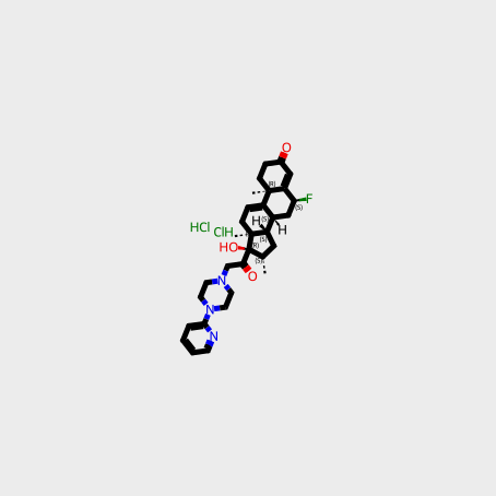 C[C@H]1C[C@H]2[C@@H]3C[C@H](F)C4=CC(=O)CC[C@]4(C)C3=CC[C@]2(C)[C@@]1(O)C(=O)CN1CCN(c2ccccn2)CC1.Cl.Cl